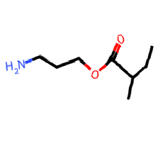 CCC(C)C(=O)OCCCN